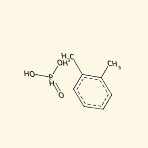 Cc1ccccc1C.O=[PH](O)O